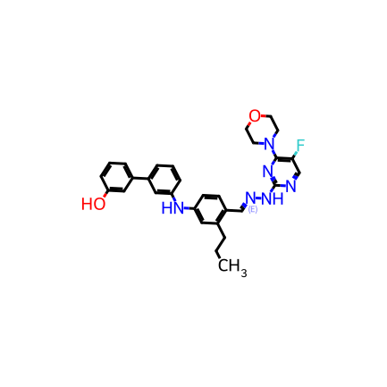 CCCc1cc(Nc2cccc(-c3cccc(O)c3)c2)ccc1/C=N/Nc1ncc(F)c(N2CCOCC2)n1